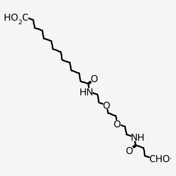 O=[C]CCC(=O)NCCOCCOCCNC(=O)CCCCCCCCCCCCC(=O)O